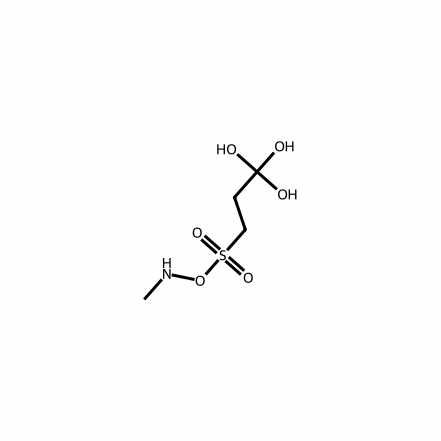 CNOS(=O)(=O)CCC(O)(O)O